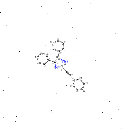 C(#Cc1nc(-c2ccccc2)c(-c2ccccc2)[nH]1)c1ccccc1